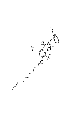 CCCCCCCCCCCCOc1ccc(C(=O)N(Cc2cccc[n+]2CCC)C(C)=O)cc1C(C)(C)C.[I-]